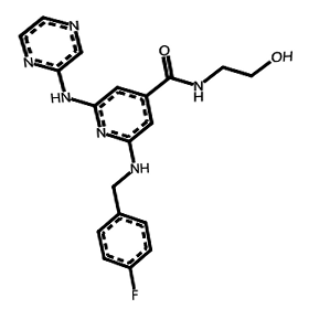 O=C(NCCO)c1cc(NCc2ccc(F)cc2)nc(Nc2cnccn2)c1